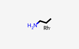 CCCN.[Rh]